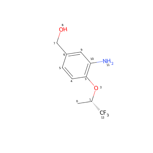 C[C@H](Oc1ccc(CO)cc1N)C(F)(F)F